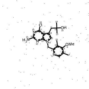 COc1c(C)cnc(Cn2cc(CC(C)(C)O)c3c(Cl)nc(N)nc32)c1C